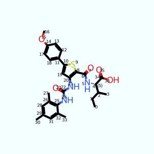 CCC(C)[C@H](NC(=O)c1sc(-c2ccc(OC)cc2)cc1NC(=O)Nc1c(C)cc(C)cc1C)C(=O)O